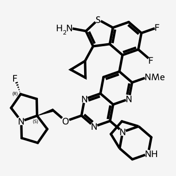 CNc1nc2c(N3C4CCC3CNC4)nc(OC[C@@]34CCCN3C[C@H](F)C4)nc2cc1-c1c(F)c(F)cc2sc(N)c(C3CC3)c12